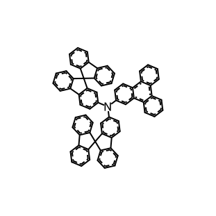 c1ccc2c(c1)-c1ccccc1C21c2ccccc2-c2ccc(N(c3ccc4c(c3)C3(c5ccccc5-c5ccccc53)c3ccccc3-4)c3ccc4c5ccccc5c5ccccc5c4c3)cc21